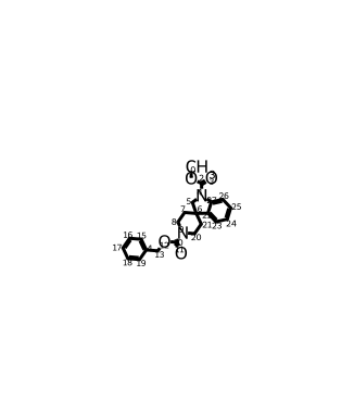 COC(=O)N1CC2(CCN(C(=O)OCc3ccccc3)CC2)c2ccccc21